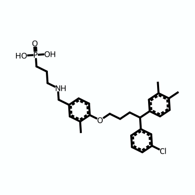 Cc1ccc(C(CCCOc2ccc(CNCCCP(=O)(O)O)cc2C)c2cccc(Cl)c2)cc1C